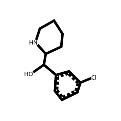 OC(c1cccc(Cl)c1)C1CCCCN1